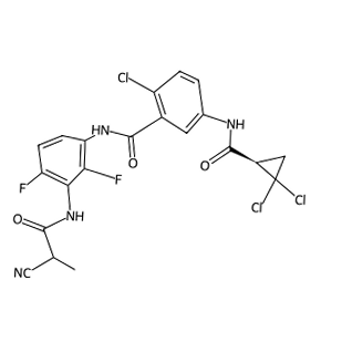 CC(C#N)C(=O)Nc1c(F)ccc(NC(=O)c2cc(NC(=O)[C@H]3CC3(Cl)Cl)ccc2Cl)c1F